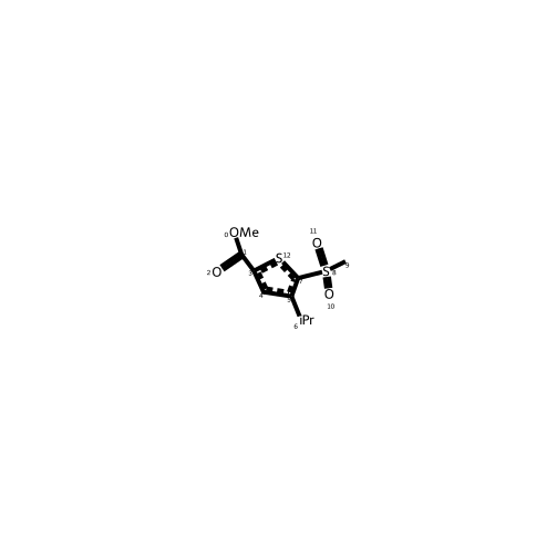 COC(=O)c1cc(C(C)C)c(S(C)(=O)=O)s1